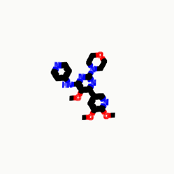 COc1cc(-c2nc(N3CCOCC3)nc(Nc3ccncc3)c2OC)cnc1OC